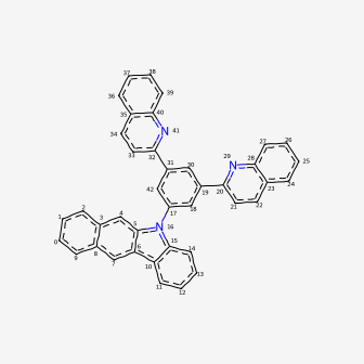 c1ccc2cc3c(cc2c1)c1ccccc1n3-c1cc(-c2ccc3ccccc3n2)cc(-c2ccc3ccccc3n2)c1